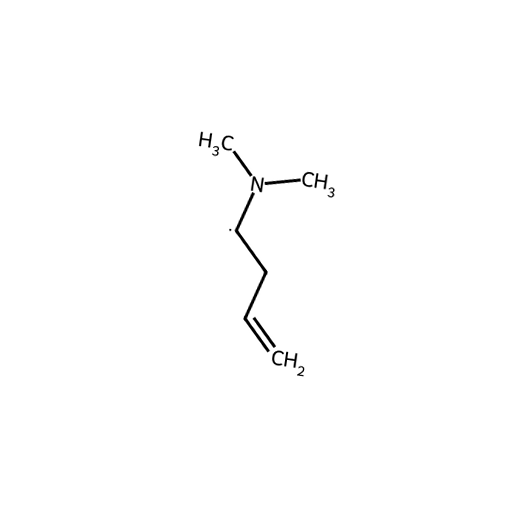 C=CC[CH]N(C)C